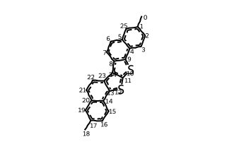 Cc1ccc2c(ccc3c2sc2sc4c5ccc(C)cc5ccc4c23)c1